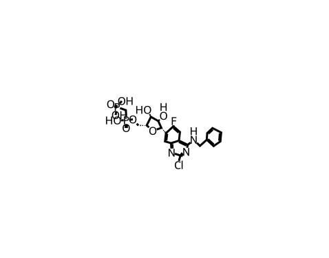 O=P(O)(O)CP(=O)(O)OC[C@H]1O[C@@H](c2cc3nc(Cl)nc(NCc4ccccc4)c3cc2F)[C@H](O)[C@@H]1O